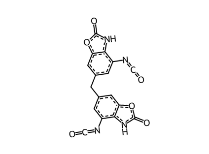 O=C=Nc1cc(Cc2cc(N=C=O)c3[nH]c(=O)oc3c2)cc2oc(=O)[nH]c12